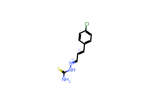 NC(=S)N/N=C/C=C/c1ccc(Cl)cc1